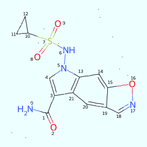 NC(=O)c1cn(NS(=O)(=O)C2CC2)c2cc3oncc3cc12